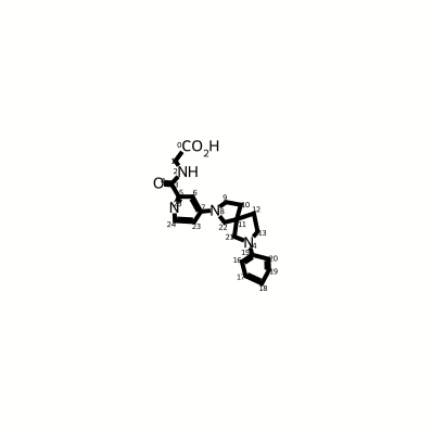 O=C(O)CNC(=O)c1cc(N2CCC3(CCN(c4ccccc4)C3)C2)ccn1